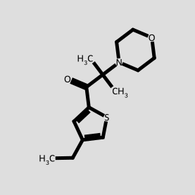 CCc1csc(C(=O)C(C)(C)N2CCOCC2)c1